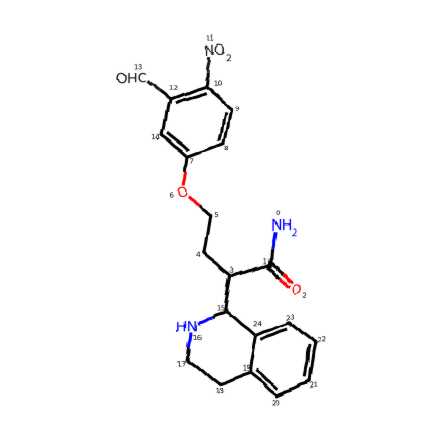 NC(=O)C(CCOc1ccc([N+](=O)[O-])c(C=O)c1)C1NCCc2ccccc21